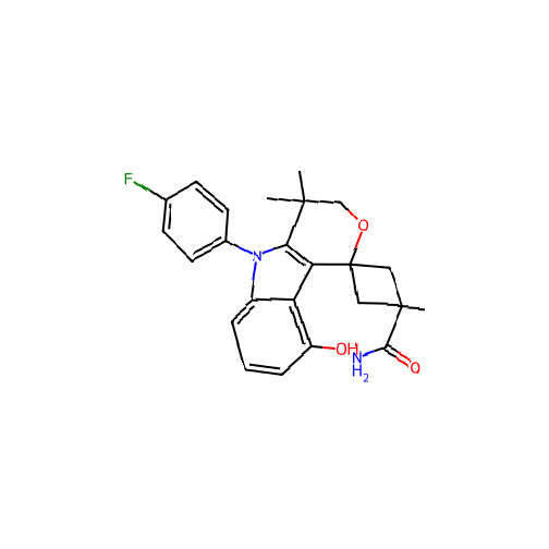 CC1(C(N)=O)CC2(C1)OCC(C)(C)c1c2c2c(O)cccc2n1-c1ccc(F)cc1